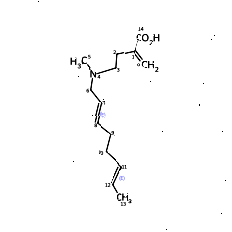 C=C(CCN(C)C/C=C/CC/C=C/C)C(=O)O